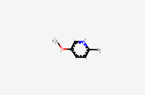 CCc1ccc(OC(F)(F)F)cn1